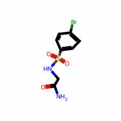 NC(=O)CNS(=O)(=O)c1ccc(Br)cc1